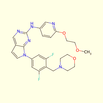 COCCOc1ccc(Nc2ncc3ccn(-c4cc(F)c(CN5CCOCC5)c(F)c4)c3n2)cn1